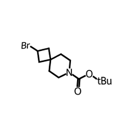 CC(C)(C)OC(=O)N1CCC2(CC1)CC(Br)C2